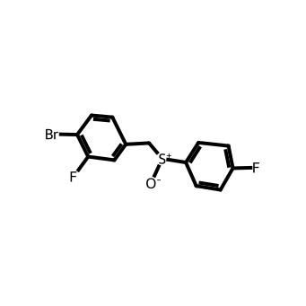 [O-][S+](Cc1ccc(Br)c(F)c1)c1ccc(F)cc1